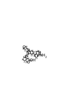 Cc1cccc(OCc2nn(CC3CCOC3)c3ccc(-c4cccc5c(N)nccc45)cc23)c1CC(=O)O